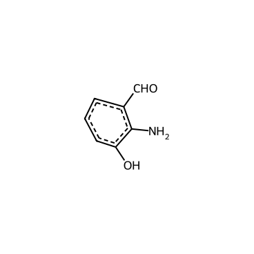 Nc1c(O)cccc1C=O